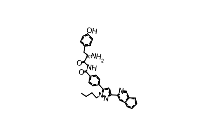 CCCCn1nc(-c2cc3ccccc3cn2)cc1-c1ccc(C(=O)NC(=O)[C@@H](N)Cc2ccc(O)cc2)cc1